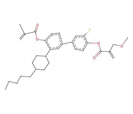 C=C(C)C(=O)Oc1ccc(-c2ccc(OC(=O)C(=C)COC)c(F)c2)cc1C1CCC(CCCCC)CC1